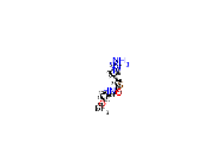 Nc1nc2ccc(-c3csc(C(=O)NCc4cccc(OCC(F)(F)F)c4)c3)cn2n1